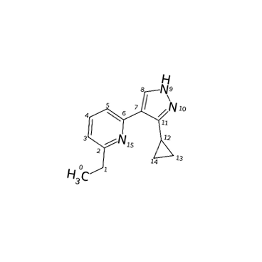 CCc1cccc(-c2c[nH]nc2C2CC2)n1